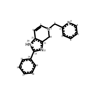 C1=CN(Cc2ccccn2)Cc2nc(-c3ccccc3)[nH]c21